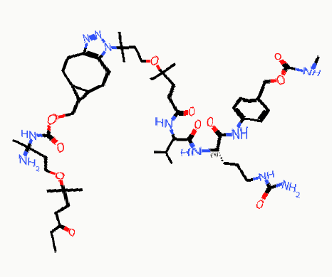 CCC(=O)CCC(C)(C)OCCC(C)(N)NC(=O)OCC1C2CCc3nnn(C(C)(C)CCOC(C)(C)CCC(=O)NC(C(=O)N[C@@H](CCCNC(N)=O)C(=O)Nc4ccc(COC(=O)NC)cc4)C(C)C)c3CCC21